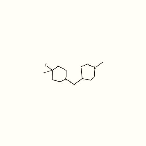 CN1CCC(CN2CCC(C)(F)CC2)CC1